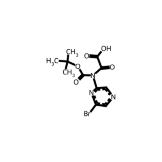 CC(C)(C)OC(=O)N(C(=O)C(=O)O)c1cncc(Br)n1